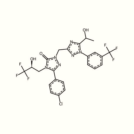 CC(O)c1nc(Cn2nc(-c3ccc(Cl)cc3)n(C[C@H](O)C(F)(F)F)c2=O)nn1-c1cccc(C(F)(F)F)c1